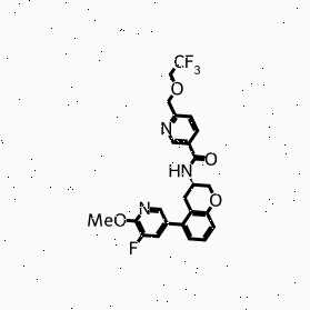 COc1ncc(-c2cccc3c2C[C@H](NC(=O)c2ccc(COCC(F)(F)F)nc2)CO3)cc1F